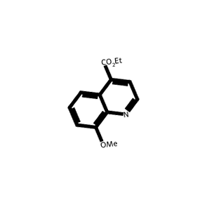 CCOC(=O)c1ccnc2c(OC)cccc12